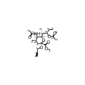 C#CCO[C@]1(C(=O)OC)C[C@@H](C)[C@@H](NC(C)=O)C([C@H](C)[C@@H](CC)OC(C)=O)O1